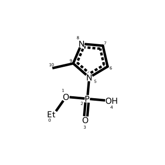 CCOP(=O)(O)n1ccnc1C